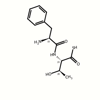 C[C@@H](O)[C@H](NC(=O)[C@@H](N)Cc1ccccc1)C(=O)S